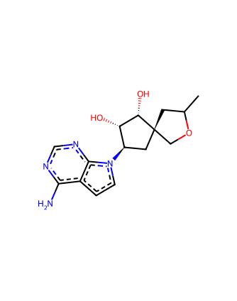 CC1C[C@@]2(CO1)C[C@@H](n1ccc3c(N)ncnc31)[C@H](O)[C@@H]2O